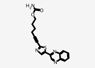 NC(=O)OCCCCC#Cc1ncc(-c2cnc3ccccc3n2)s1